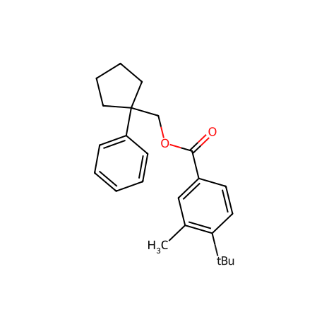 Cc1cc(C(=O)OCC2(c3ccccc3)CCCC2)ccc1C(C)(C)C